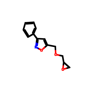 c1ccc(-c2cc(COCC3CO3)on2)cc1